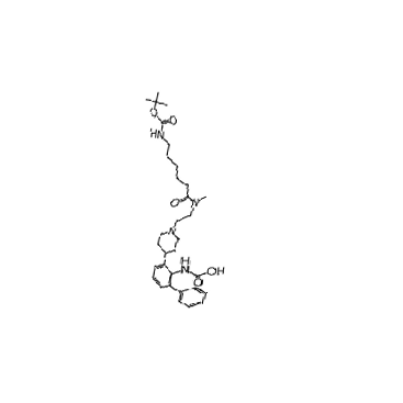 CN(CCN1CCC(c2cccc(-c3ccccc3)c2NC(=O)O)CC1)C(=O)CCCCCNC(=O)OC(C)(C)C